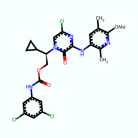 COc1nc(C)c(Nc2nc(Cl)cn([C@@H](COC(=O)Nc3cc(Cl)cc(Cl)c3)C3CC3)c2=O)cc1C